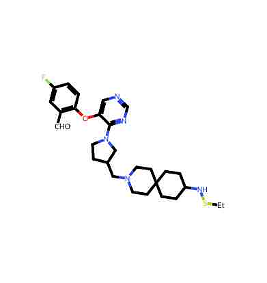 CCSNC1CCC2(CC1)CCN(CC1CCN(c3ncncc3Oc3ccc(F)cc3C=O)C1)CC2